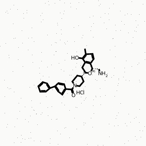 Cc1ccc2c(c1O)C[C@@H](C1CCN(C(=O)c3ccc(-c4ccccc4)cc3)CC1)O[C@H]2CN.Cl